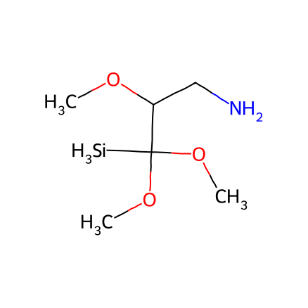 COC(CN)C([SiH3])(OC)OC